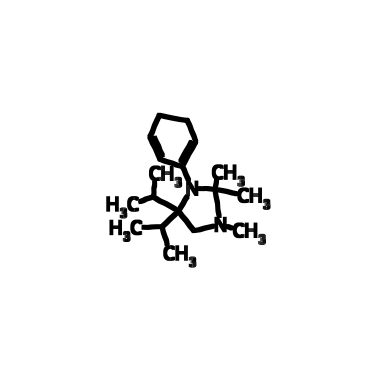 CC(C)C1(C(C)C)CN(C)C(C)(C)N1C1=CCCC=C1